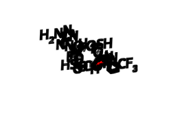 Nc1ncnc2c1ncn2[C@@H]1O[C@@H]2COP(S)O[C@@H]3[C@H](O)[C@@H](COP(=O)(S)O[C@H]2[C@H]1F)O[C@H]3n1nnc2c(C(F)(F)F)cccc21